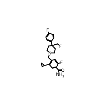 NC(=O)c1cc(C2CC2)c(CN2CCC(CF)(c3ccc(F)cc3)CC2)cc1F